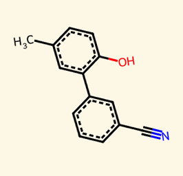 Cc1ccc(O)c(-c2cccc(C#N)c2)c1